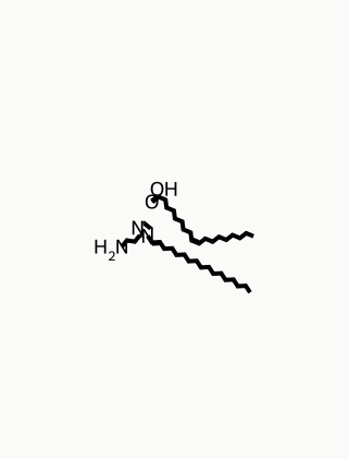 CCCCCCCC/C=C\CCCCCCCC(=O)O.CCCCCCCCCCCCCCCC=CN1CCN=C1CCN